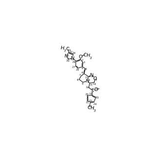 COc1cc(/C=C2\CCCN3C2=NOCC3C[S+]([O-])c2ccc(C)cc2)ccc1-n1cnc(C)c1